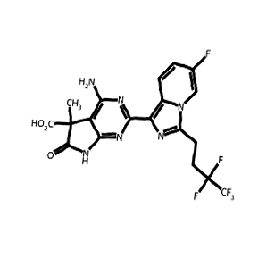 CC1(C(=O)O)C(=O)Nc2nc(-c3nc(CCC(F)(F)C(F)(F)F)n4cc(F)ccc34)nc(N)c21